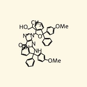 COc1ccc(C(Nc2nc3c(ncn3C(CC(C)CO)OC(c3ccccc3)(c3ccccc3)c3ccc(OC)cc3)c(=O)[nH]2)(c2ccccc2)c2ccccc2)cc1